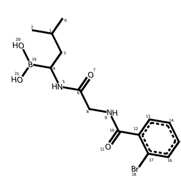 CC(C)CC(NC(=O)CNC(=O)c1ccccc1Br)B(O)O